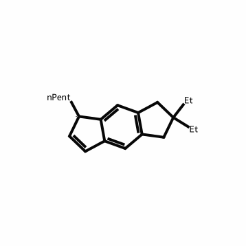 CCCCC[C]1C=Cc2cc3c(cc21)CC(CC)(CC)C3